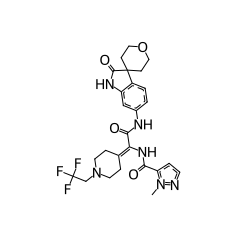 Cn1nccc1C(=O)NC(C(=O)Nc1ccc2c(c1)NC(=O)C21CCOCC1)=C1CCN(CC(F)(F)F)CC1